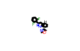 Fc1cccc(F)c1-c1cc2c(nn1)[C@]1(c3cocn3)CC[C@H]2CC1